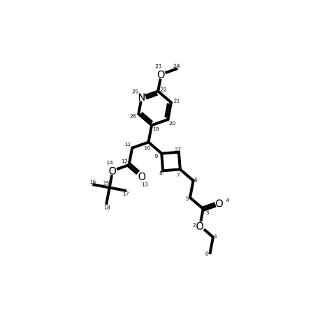 CCOC(=O)CCC1CC(C(CC(=O)OC(C)(C)C)c2ccc(OC)nc2)C1